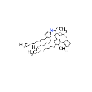 CCCCCCCCc1ccc(N=C(CC)C(C)=Cc2cc(CCCCCCCC)c(C)c(-c3ccccc3)c2)cc1CCCCCC